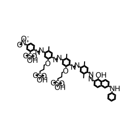 Cc1cc(N=Nc2ccc3cc(Nc4ccccc4)ccc3c2O)c(C)cc1N=Nc1cc(C)c(N=Nc2cc(C)c(N=Nc3ccc([N+](=O)[O-])cc3S(=O)(=O)O)cc2OCCCS(=O)(=O)O)cc1OCCCS(=O)(=O)O